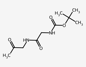 CC(=O)CNC(=O)CNC(=O)OC(C)(C)C